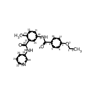 CCOc1ccc(C(=O)Nc2ccc(C)c(C(=O)Nc3cccnc3)c2)cc1